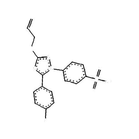 C=CCOc1nc(-c2ccc(F)cc2)n(-c2ccc(S(N)(=O)=O)cc2)n1